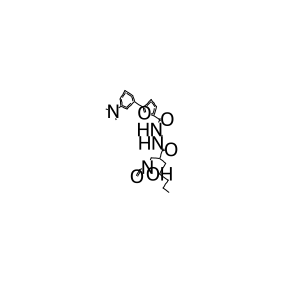 CCCCCC(CN(O)C=O)C(=O)NCNC(=O)c1ccc(-c2cccc(N(C)C)c2)o1